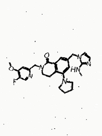 CNc1nccn1Cc1cc2c(c(N3CCCC3)c1)CCN(Cc1cc(OC)c(F)cn1)C2=O